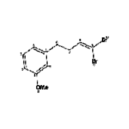 COc1cccc(CCC=C(Br)Br)c1